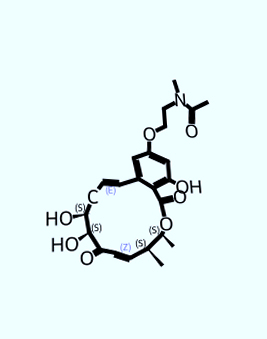 CC(=O)N(C)CCOc1cc(O)c2c(c1)/C=C/C[C@H](O)[C@H](O)C(=O)/C=C\[C@H](C)[C@H](C)OC2=O